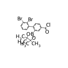 CC1(C)OB(c2cc(C(=O)Cl)ccc2-c2cccc(Br)c2Br)OC1(C)C